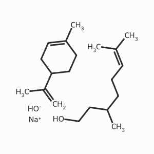 C=C(C)C1CC=C(C)CC1.CC(C)=CCCC(C)CCO.[Na+].[OH-]